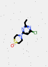 CCc1nc(Cl)cc(N2CC[S+]([O-])CC2)n1